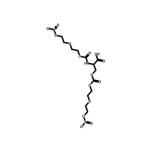 O=C(NC(COC(=O)OCCOCCO[N+](=O)[O-])C(=O)O)OCCOCCO[N+](=O)[O-]